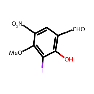 COc1c([N+](=O)[O-])cc(C=O)c(O)c1I